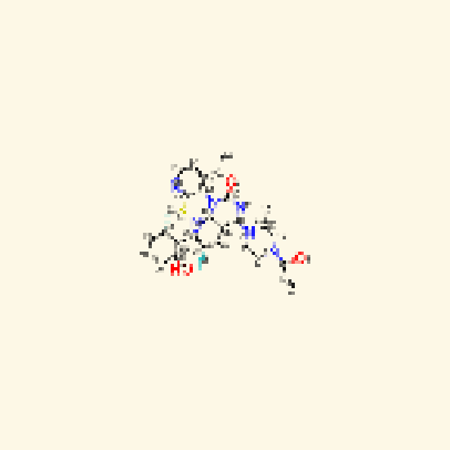 C=CC(=O)N1CCN(c2nc(=O)n(-c3c(CC)ccnc3SC)c3nc(-c4c(O)cccc4F)c(F)cc23)[C@@H](C)C1